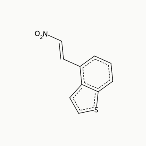 O=[N+]([O-])C=Cc1cccc2sccc12